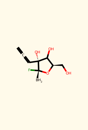 B[C@]1(F)O[C@H](CO)C(O)[C@]1(O)C=C=C